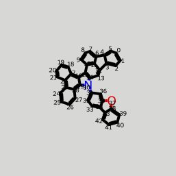 c1ccc2c(c1)-c1cccc3c1c-2cc1c3c2c3ccccc3c3ccccc3c2n1-c1ccc2c(c1)oc1ccccc12